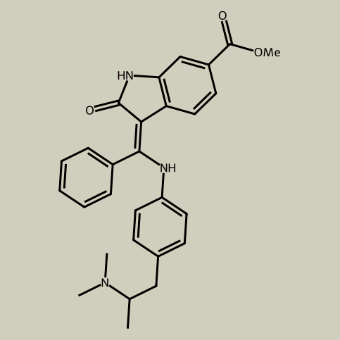 COC(=O)c1ccc2c(c1)NC(=O)C2=C(Nc1ccc(CC(C)N(C)C)cc1)c1ccccc1